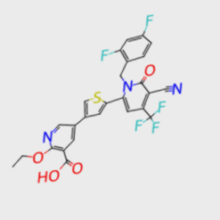 CCOc1ncc(-c2csc(-c3cc(C(F)(F)F)c(C#N)c(=O)n3Cc3ccc(F)cc3F)c2)cc1C(=O)O